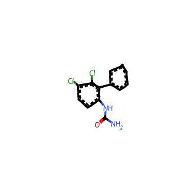 NC(=O)Nc1ccc(Cl)c(Cl)c1-c1ccccc1